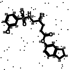 CCC(CCC(=O)Oc1ccc2c(c1)CCC2)CNS(=O)(=O)c1cccc(Cl)c1